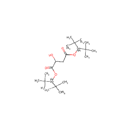 C[C](C)(C)[SnH]([O]C(=O)CC(O)C(=O)[O][SnH]([C](C)(C)C)[C](C)(C)C)[C](C)(C)C